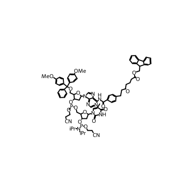 COc1ccc(C(OCC2OC(n3cnc4c(NC(=O)c5ccc(CCC(=O)CCCC(=O)OCC6c7ccccc7-c7ccccc76)cc5)ncnc43)CC2OP(OCCC#N)OCC2OC(n3cc(C)c(=O)[nH]c3=O)CC2OP(OCCC#N)N(C(C)C)C(C)C)(c2ccccc2)c2ccc(OC)cc2)cc1